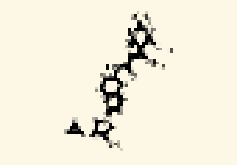 Cc1nc(C)c2c(N)c(C(=O)NC3CCc4nc(N5CC(N)C(OC6CC6)C5)ccc4C3)sc2n1